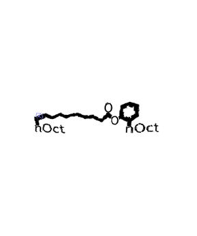 CCCCCCCC/C=C\CCCCCCCC(=O)Oc1ccccc1CCCCCCCC